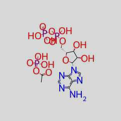 CC(=O)OP(=O)(O)O.Nc1ncnc2c1ncn2[C@@H]1O[C@H](COP(=O)(O)OP(=O)(O)O)[C@@H](O)[C@H]1O